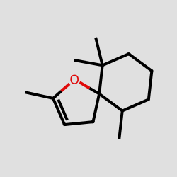 CC1=CCC2(O1)C(C)CCCC2(C)C